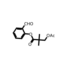 CC(=O)OCC(C)(C)C(=O)Oc1ccccc1C=O